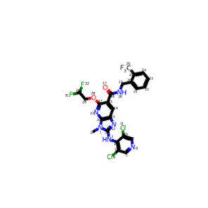 Cn1c(Nc2c(Cl)cncc2Cl)nc2cc(C(=O)NCc3ccccc3C(F)(F)F)c(OCC(F)F)nc21